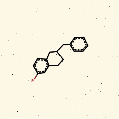 Brc1ccc2c(c1)CCC(Cc1ccccc1)C2